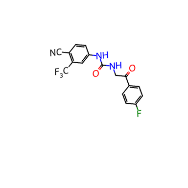 N#Cc1ccc(NC(=O)NCC(=O)c2ccc(F)cc2)cc1C(F)(F)F